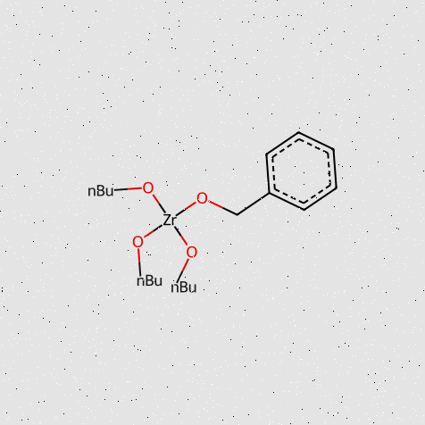 CCCC[O][Zr]([O]CCCC)([O]CCCC)[O]Cc1ccccc1